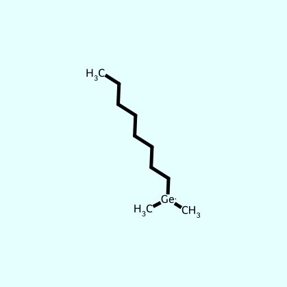 CCCCCCC[CH2][Ge]([CH3])[CH3]